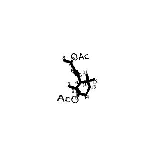 CC(=O)OC1=C(C)C(C#CC(C)OC(C)=O)C(C)(C)CC1